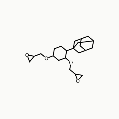 C1C2CC3CC1CC(C1CCC(OCC4CO4)CC1OCC1CO1)(C2)C3